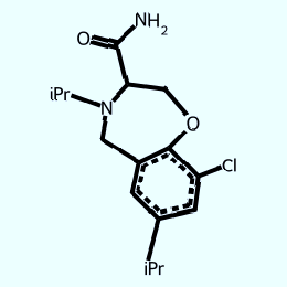 CC(C)c1cc(Cl)c2c(c1)CN(C(C)C)C(C(N)=O)CO2